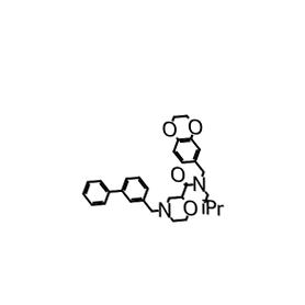 CC(C)CN(Cc1ccc2c(c1)OCCO2)C(=O)C1CN(Cc2cccc(-c3ccccc3)c2)CCO1